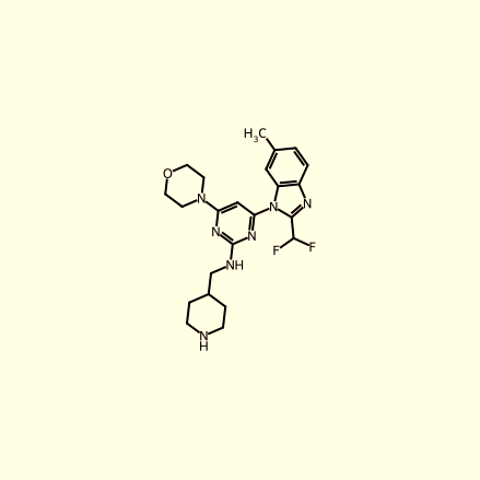 Cc1ccc2nc(C(F)F)n(-c3cc(N4CCOCC4)nc(NCC4CCNCC4)n3)c2c1